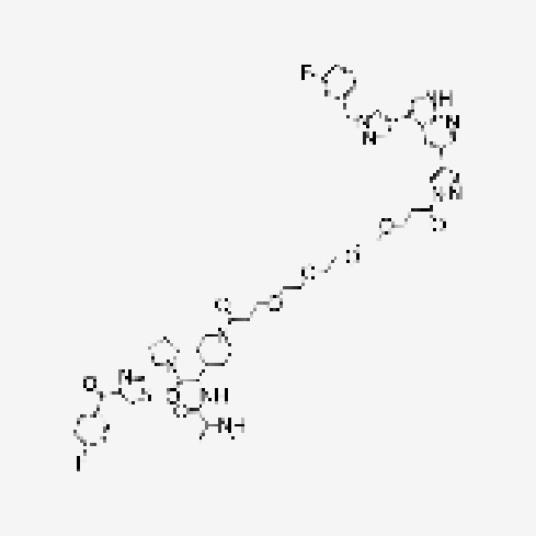 CN[C@@H](C)C(=O)N[C@H](C(=O)N1CCC[C@H]1C1=NC(C(=O)c2ccc(F)cc2)CS1)C1CCN(C(=O)CCOCCOCCOCCOCCC(=O)n2cc(-c3cnc4[nH]cc(-c5cnn(Cc6cccc(F)c6)c5)c4c3)cn2)CC1